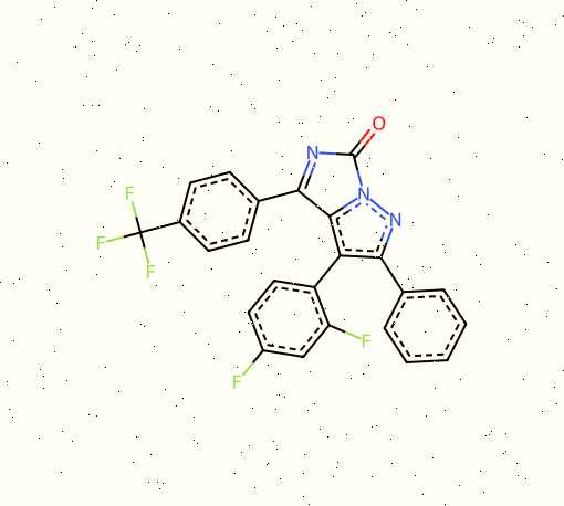 O=C1N=C(c2ccc(C(F)(F)F)cc2)c2c(-c3ccc(F)cc3F)c(-c3ccccc3)nn21